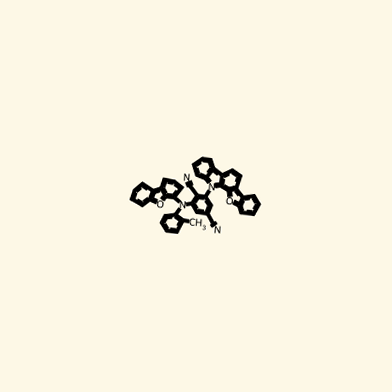 Cc1ccccc1N(c1cc(C#N)cc(-n2c3ccccc3c3ccc4c5ccccc5oc4c32)c1C#N)c1cccc2c1oc1ccccc12